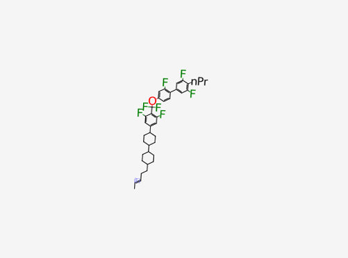 C/C=C/CCC1CCC(C2CCC(c3cc(F)c(C(F)(F)Oc4ccc(-c5cc(F)c(CCC)c(F)c5)c(F)c4)c(F)c3)CC2)CC1